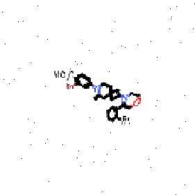 CC(C)c1ccccc1C1COCCN1C1CC2(CCN(c3ccc(C(=O)O)c(Br)c3)C(C)C2)C1